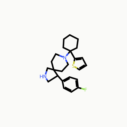 Fc1ccc(C2CNCC23CCN(C2(c4cccs4)CCCCC2)CC3)cc1